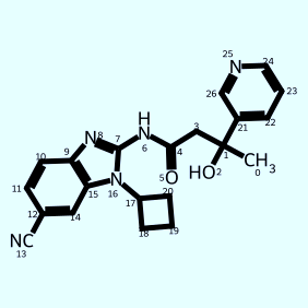 CC(O)(CC(=O)Nc1nc2ccc(C#N)cc2n1C1CCC1)c1cccnc1